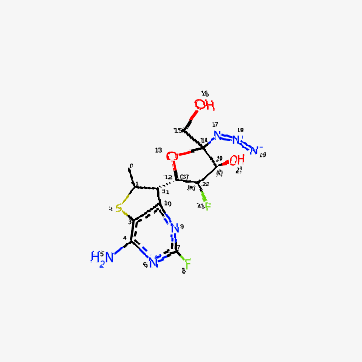 CC1Sc2c(N)nc(F)nc2C1[C@@H]1OC(CO)(N=[N+]=[N-])[C@@H](O)[C@H]1F